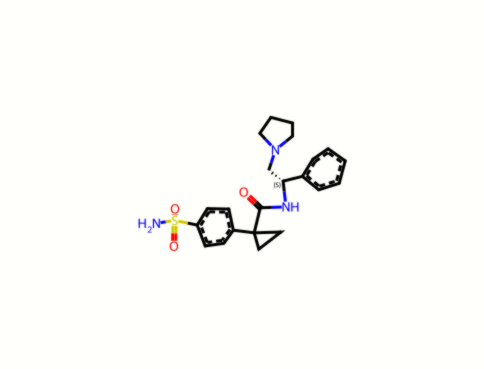 NS(=O)(=O)c1ccc(C2(C(=O)N[C@H](CN3CCCC3)c3ccccc3)CC2)cc1